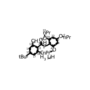 CCCOc1cc(OCCC)c(PC(=O)c2c(C)cc(C(C)(C)C)cc2C)c(OCCC)c1.[LiH]